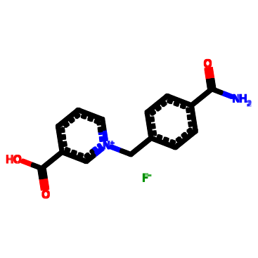 NC(=O)c1ccc(C[n+]2cccc(C(=O)O)c2)cc1.[F-]